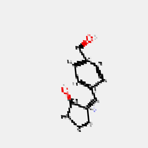 O=Cc1ccc(/C=C2/CCCC2=O)cc1